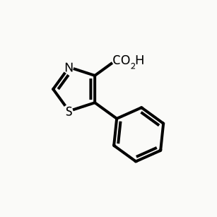 O=C(O)c1ncsc1-c1ccccc1